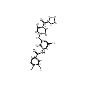 Cc1ccc(C(=O)Nc2cc(F)cc(CN3CCN(C(=O)C4CCCC4)C(C)C3)c2C)cc1F